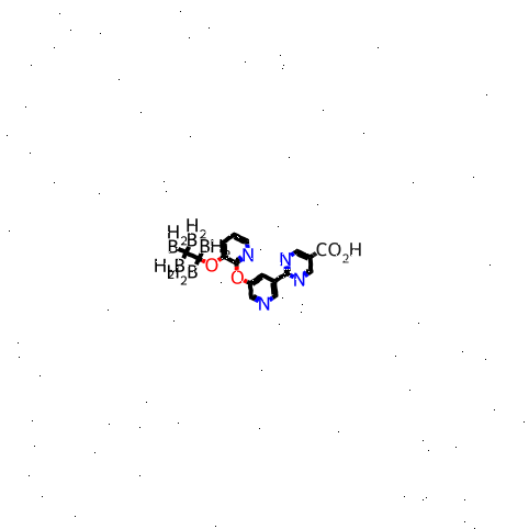 BC(B)(B)C(B)(B)Oc1cccnc1Oc1cncc(-c2ncc(C(=O)O)cn2)c1